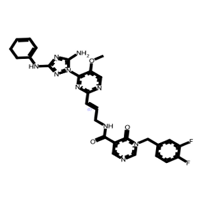 COc1cnc(/C=C/CNC(=O)c2cncn(Cc3ccc(F)c(F)c3)c2=O)nc1-n1nc(NC2=CC=CCC2)nc1N